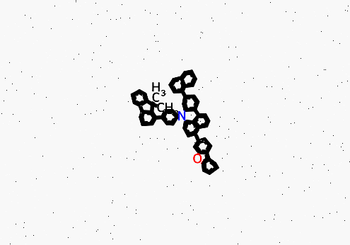 CC1(C)c2ccccc2-c2cccc(-c3ccc(N(c4ccc(-c5ccc6c(c5)oc5ccccc56)cc4)c4cc(-c5cccc6ccccc56)ccc4-c4ccccc4)cc3)c21